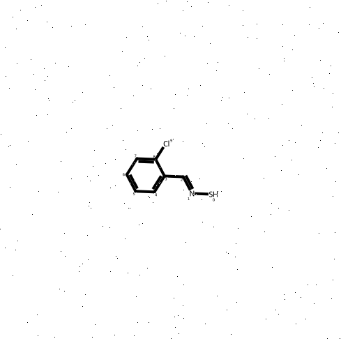 S/N=C/c1ccccc1Cl